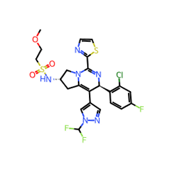 COCCS(=O)(=O)N[C@H]1CC2=C(c3cnn(C(F)F)c3)[C@H](c3ccc(F)cc3Cl)N=C(c3nccs3)N2C1